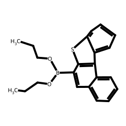 CCCOB(OCCC)c1cc2ccccc2c2c1sc1ccccc12